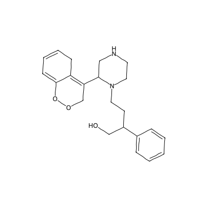 OCC(CCN1CCNCC1C1=C2CC=CC=C2OOC1)c1ccccc1